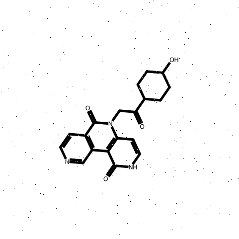 O=C(Cn1c(=O)c2ccncc2c2c(=O)[nH]ccc21)C1CCC(O)CC1